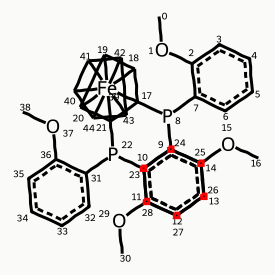 COc1ccccc1P(c1ccccc1OC)[C]12[CH]3[CH]4[CH]5[C]1(P(c1ccccc1OC)c1ccccc1OC)[Fe]43521678[CH]2[CH]1[CH]6[CH]7[CH]28